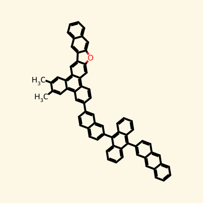 Cc1cc2c3cc(-c4ccc5ccc(-c6c7ccccc7c(-c7ccc8cc9ccccc9cc8c7)c7ccccc67)cc5c4)ccc3c3cc4oc5cc6ccccc6cc5c4cc3c2cc1C